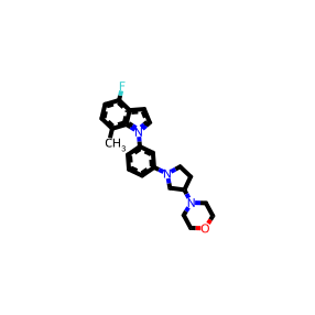 Cc1ccc(F)c2ccn(-c3cccc(N4CCC(N5CCOCC5)C4)c3)c12